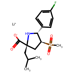 CC(C)C[C@]1(C(=O)[O-])C[C@H](S(C)(=O)=O)[C@@H](c2ccc(F)cc2)N1.[Li+]